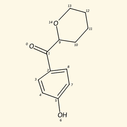 O=C(c1ccc(O)cc1)C1CCCCO1